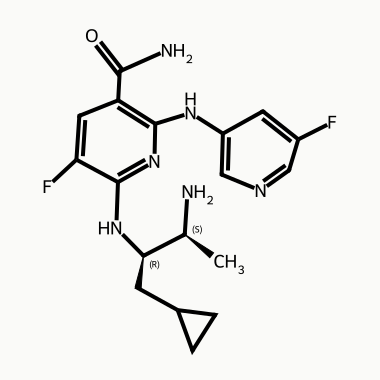 C[C@H](N)[C@@H](CC1CC1)Nc1nc(Nc2cncc(F)c2)c(C(N)=O)cc1F